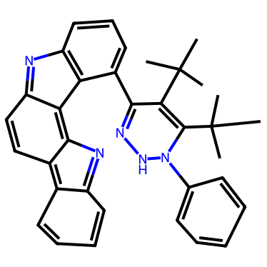 CC(C)(C)C1=C(C(C)(C)C)N(c2ccccc2)NN=C1c1cccc2c1-c1c3c(ccc1=N2)=c1ccccc1=N3